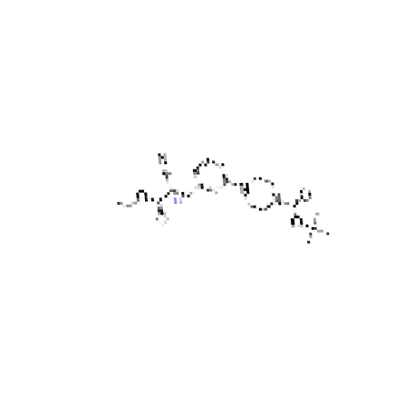 CCOC(=O)/C(C#N)=C/c1cccc(N2CCN(C(=O)OC(C)(C)C)CC2)c1